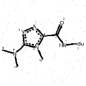 CCC(C)NC(=O)c1nnc(N(C)C)n1C